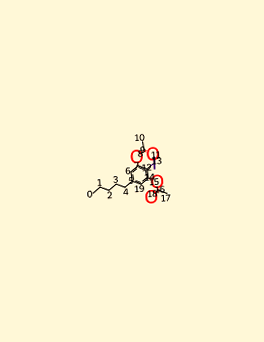 CCCCCc1cc(OC(C)=O)c(I)c(OC(C)=O)c1